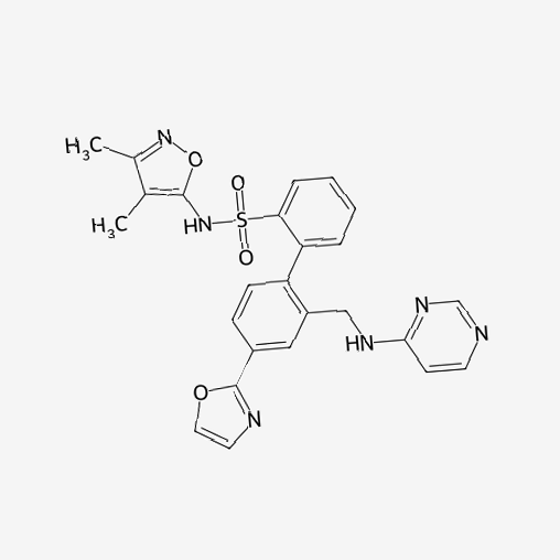 Cc1noc(NS(=O)(=O)c2ccccc2-c2ccc(-c3ncco3)cc2CNc2ccncn2)c1C